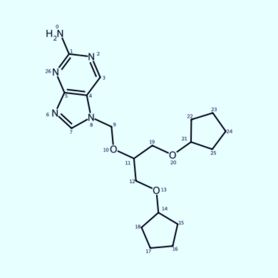 Nc1ncc2c(ncn2COC(COC2CCCC2)COC2CCCC2)n1